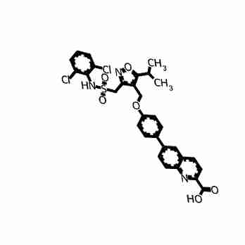 CC(C)c1onc(CS(=O)(=O)Nc2c(Cl)cccc2Cl)c1COc1ccc(-c2ccc3nc(C(=O)O)ccc3c2)cc1